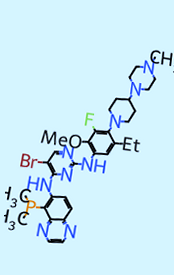 CCc1cc(Nc2ncc(Br)c(Nc3ccc4nccnc4c3P(C)C)n2)c(OC)c(F)c1N1CCC(N2CCN(C)CC2)CC1